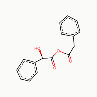 O=C(Cc1ccccc1)OC(=O)[C@H](O)c1ccccc1